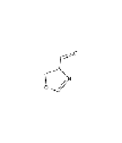 O=CC1COC=N1